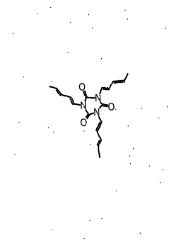 CC=CC=Cn1c(=O)n(C=CC=CC)c(=O)n(C=CC=CC)c1=O